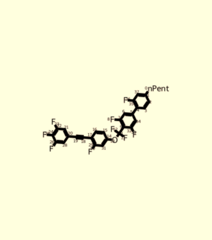 CCCCCc1ccc(-c2cc(F)c(C(F)(F)Oc3ccc(C#Cc4cc(F)c(F)c(F)c4)c(F)c3)c(F)c2)c(F)c1